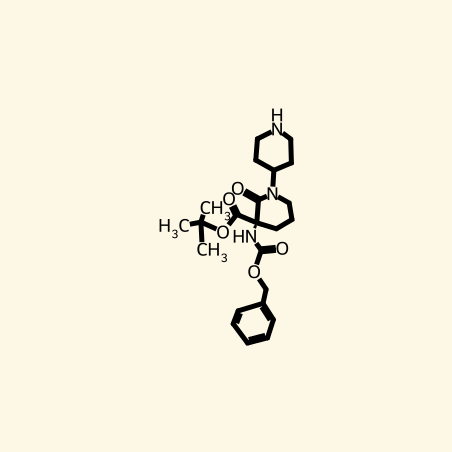 CC(C)(C)OC(=O)[C@]1(NC(=O)OCc2ccccc2)CCCN(C2CCNCC2)C1=O